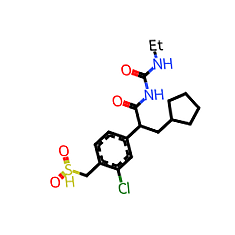 CCNC(=O)NC(=O)C(CC1CCCC1)c1ccc(C[SH](=O)=O)c(Cl)c1